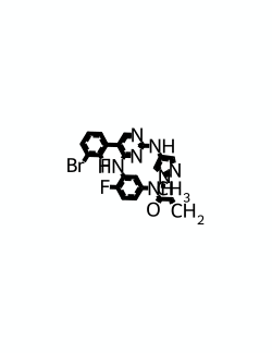 C=CC(=O)Nc1ccc(F)c(Nc2nc(Nc3cnn(C)c3)ncc2-c2cccc(Br)c2F)c1